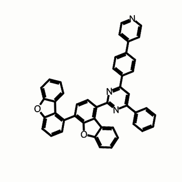 c1ccc(-c2cc(-c3ccc(-c4ccncc4)cc3)nc(-c3ccc(-c4cccc5oc6ccccc6c45)c4oc5ccccc5c34)n2)cc1